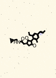 C/C=C/c1cc(C)c(C2C(=O)CC(CC(=O)NCC3CC3)C2=O)c(CC)c1